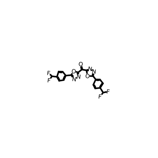 O=C(c1nnc(-c2ccc(C(F)F)cc2)o1)c1nnc(-c2ccc(C(F)F)cc2)o1